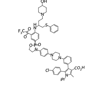 Cc1c(C(=O)O)c(-c2cccc(N3CCN(c4ccc(N5CCO[P@@]5(=O)c5ccc(NC(CCN6CCC(O)CC6)CSc6ccccc6)c(S(=O)(=O)C(F)(F)F)c5)cc4)CC3)c2)c(-c2ccc(Cl)cc2)n1C(C)C